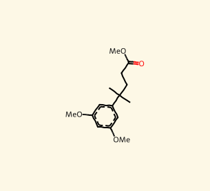 COC(=O)CCC(C)(C)c1cc(OC)cc(OC)c1